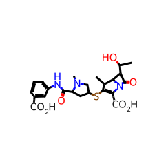 CC(O)C1C(=O)N2C(C(=O)O)=C(SC3CC(C(=O)Nc4cccc(C(=O)O)c4)N(C)C3)C(C)C12